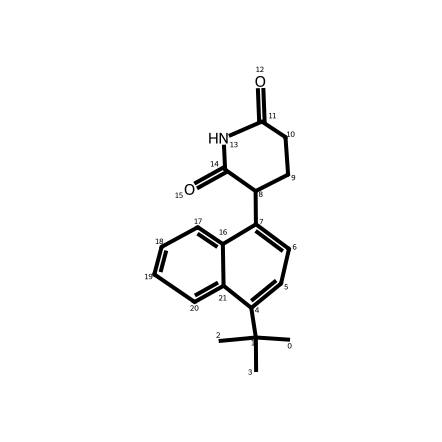 CC(C)(C)c1ccc(C2CCC(=O)NC2=O)c2ccccc12